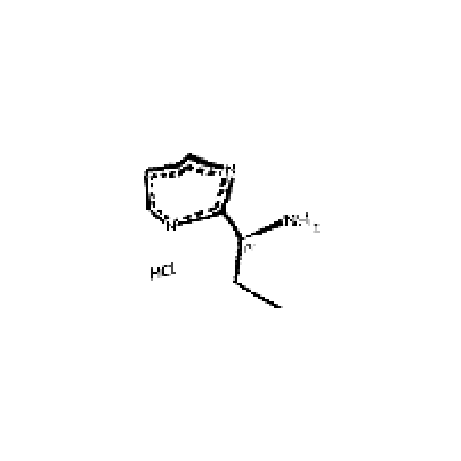 CC[C@H](N)c1ncccn1.Cl